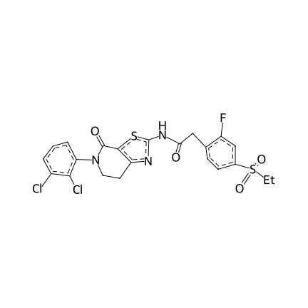 CCS(=O)(=O)c1ccc(CC(=O)Nc2nc3c(s2)C(=O)N(c2cccc(Cl)c2Cl)CC3)c(F)c1